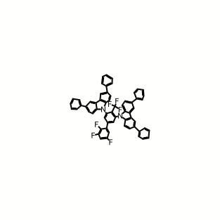 Fc1cc(F)c(F)c(-c2cc(-n3c4ccc(-c5ccccc5)cc4c4cc(-c5ccccc5)ccc43)c(C(F)(F)F)c(-n3c4ccc(-c5ccccc5)cc4c4cc(-c5ccccc5)ccc43)c2)c1